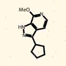 COc1nccc2c(C3CCCC3)n[nH]c12